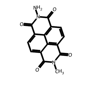 CN1C(=O)c2ccc3c4c(ccc(c24)C1=O)C(=O)N(N)C3=O